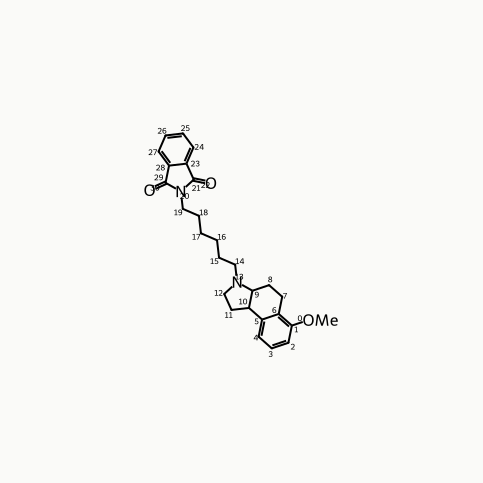 COc1cccc2c1CCC1C2CCN1CCCCCCN1C(=O)c2ccccc2C1=O